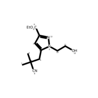 CCOC(=O)c1cc(CC(C)(C)C#N)n(CCO)n1